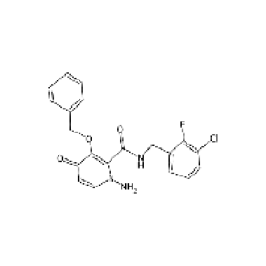 Nn1ccc(=O)c(OCc2ccccc2)c1C(=O)NCc1cccc(Cl)c1F